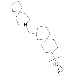 CC(C)(N1CCC2(CCCC(CN3CCC4(CCCC4)CC3)C2)CC1)[SH]1CS1